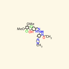 C=CC(=O)Nc1cc(N2CCN(C)CC2)ccc1Nc1ncc2ccc(C(O)c3c(Cl)c(OC)cc(OC)c3Cl)cc2n1